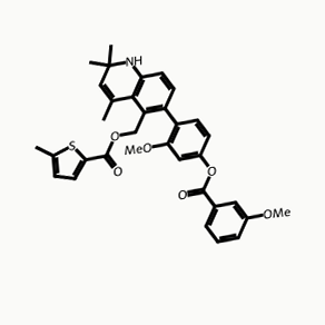 COc1cccc(C(=O)Oc2ccc(-c3ccc4c(c3COC(=O)c3ccc(C)s3)C(C)=CC(C)(C)N4)c(OC)c2)c1